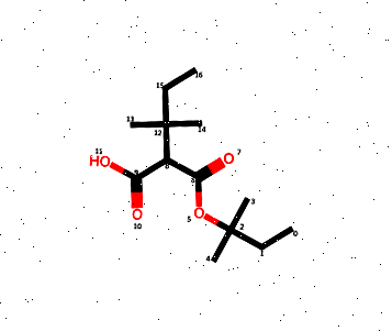 CCC(C)(C)OC(=O)C(C(=O)O)C(C)(C)CC